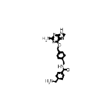 NCc1ccc(C(=O)NCc2ccc(COc3nc(N)nc4[nH]cnc34)cc2)cc1